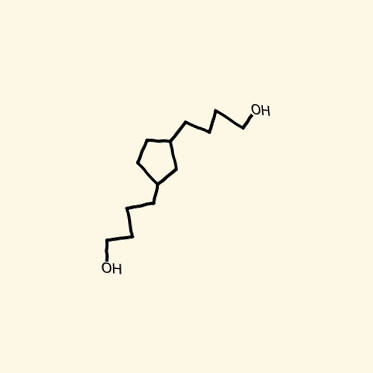 OCCCCC1CCC(CCCCO)C1